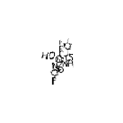 Cc1ccc(-c2scc(NC(=O)c3nc4ccc(F)cc4o3)c2C(=O)O)c(F)c1F